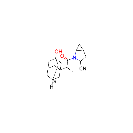 CC(C(=O)N1C(C#N)CC2CC21)C12CC3C[C@@H](CC(O)(C3)C1)C2